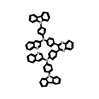 c1ccc2ncc(N(c3ccc(-c4nc5ccccc5nc4-c4ccc(N(c5ccc(-n6c7ccccc7c7ccccc76)cc5)c5cnc6ccccc6c5)cc4)cc3)c3ccc(-n4c5ccccc5c5ccccc54)cc3)cc2c1